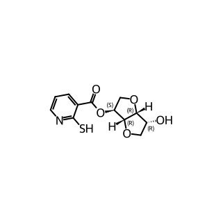 O=C(O[C@H]1CO[C@H]2[C@@H]1OC[C@H]2O)c1cccnc1S